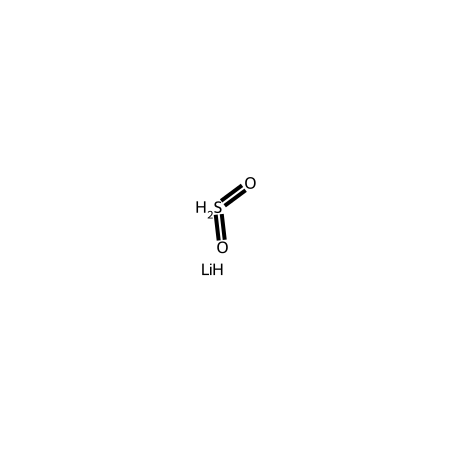 O=[SH2]=O.[LiH]